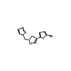 Brc1ccc(C2=NOC(Cn3ccnn3)C2)s1